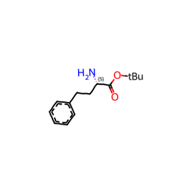 CC(C)(C)OC(=O)[C@@H](N)CCc1ccccc1